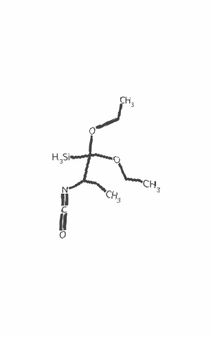 CCOC([SiH3])(OCC)C(C)N=C=O